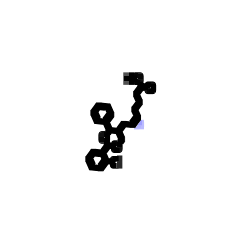 O=C(O)CCC/C=C\CC1COC(c2ccccc2Cl)OC1c1ccccc1